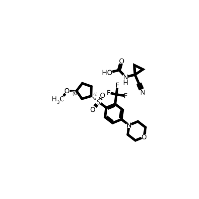 CO[C@H]1CC[C@H](S(=O)(=O)c2ccc(N3CCOCC3)cc2C(F)(F)F)C1.N#CC1(NC(=O)O)CC1